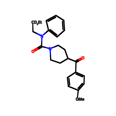 CCOC(=O)CN(C(=O)N1CCC(C(=O)c2ccc(OC)cc2)CC1)c1ccccc1